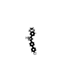 Clc1ccc(-c2ccc(C3=NNC(c4ccc5nccnc5c4)C3)cc2)cc1